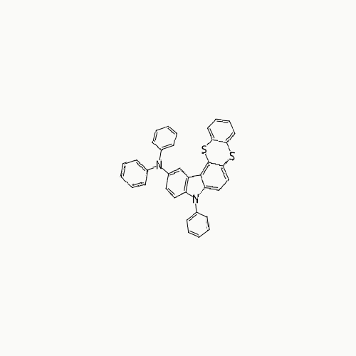 c1ccc(N(c2ccccc2)c2ccc3c(c2)c2c4c(ccc2n3-c2ccccc2)Sc2ccccc2S4)cc1